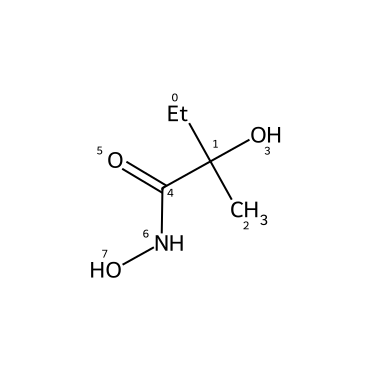 CCC(C)(O)C(=O)NO